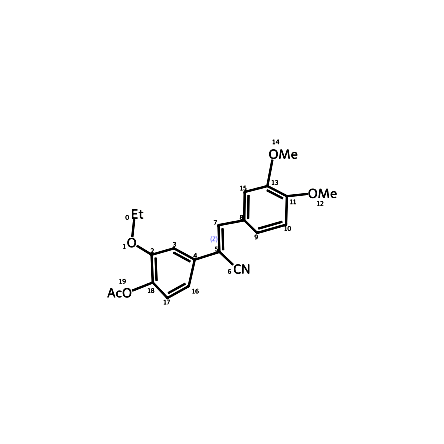 CCOc1cc(/C(C#N)=C/c2ccc(OC)c(OC)c2)ccc1OC(C)=O